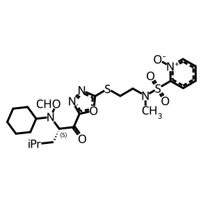 CC(C)C[C@@H](C(=O)c1nnc(SCCN(C)S(=O)(=O)c2cccc[n+]2[O-])o1)N(C=O)C1CCCCC1